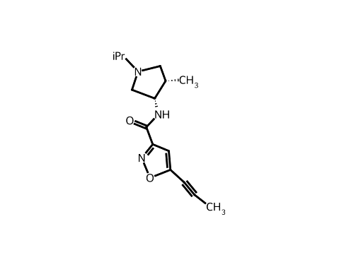 CC#Cc1cc(C(=O)N[C@@H]2CN(C(C)C)C[C@@H]2C)no1